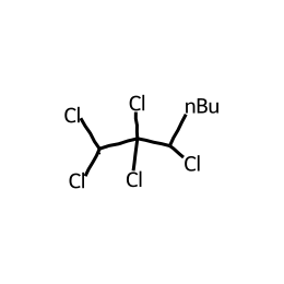 CCCCC(Cl)C(Cl)(Cl)[C](Cl)Cl